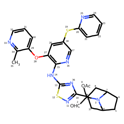 CC(=O)OC(C=O)N1C2CCC1CC(c1nsc(Nc3ncc(Sc4ccccn4)cc3Oc3cccnc3C)n1)C2